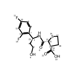 O=C(N[C@@H](CCO)c1ccc(F)cc1F)[C@@H]1SCCN1C(=O)O